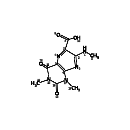 CNc1nc2c(nc1C(=O)O)c(=O)n(C)c(=O)n2C